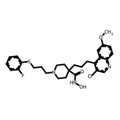 COc1ccc2ncc(Cl)c(CCCC3(C(=O)NO)CCN(CCCSc4ccccc4F)CC3)c2c1